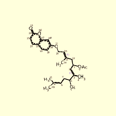 CC(=O)OC(/C=C(\C)C(O)CC=C(C)C)C/C(C)=C/COc1ccc2ccc(=O)oc2c1